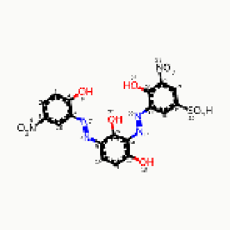 O=[N+]([O-])c1ccc(O)c(N=Nc2ccc(O)c(N=Nc3cc(S(=O)(=O)O)cc([N+](=O)[O-])c3O)c2O)c1